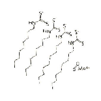 CCCCCCCCCNC(=S)[S-].CCCCCCCCCNC(=S)[S-].CCCCCCCCCNC(=S)[S-].CCCCCCCCCNC(=S)[S-].O=S.[Mo+4]